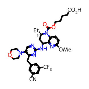 CC[C@@H]1C[C@H](Nc2ncc(N3CCOCC3)c(Cc3cc(C#N)cc(C(F)(F)F)c3)n2)c2nc(OC)ccc2N1C(=O)OCCCCC(=O)O